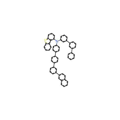 c1ccc(-c2cccc(-c3cccc(N(c4ccc(-c5ccc(-c6cccc(-c7ccc8ccccc8c7)c6)cc5)cc4)c4cccc5sc6ccccc6c45)c3)c2)cc1